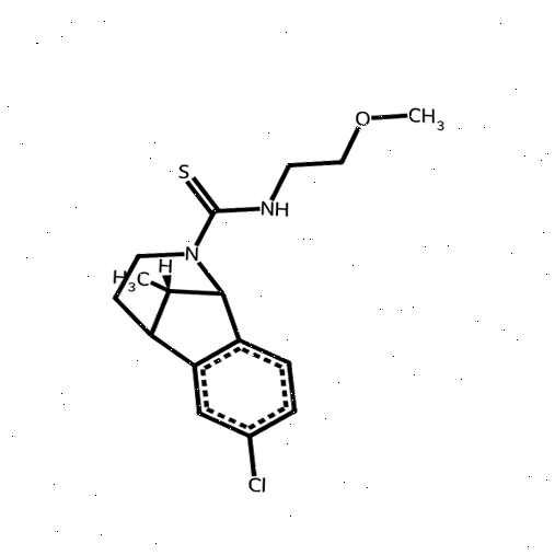 COCCNC(=S)N1CCC2c3cc(Cl)ccc3C1[C@H]2C